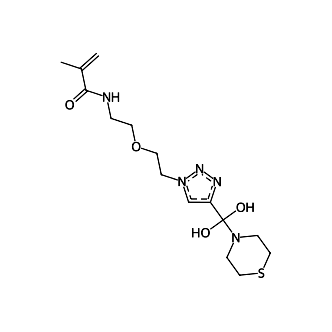 C=C(C)C(=O)NCCOCCn1cc(C(O)(O)N2CCSCC2)nn1